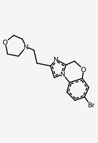 Brc1ccc2c(c1)OCc1nc(CCN3CCOCC3)cn1-2